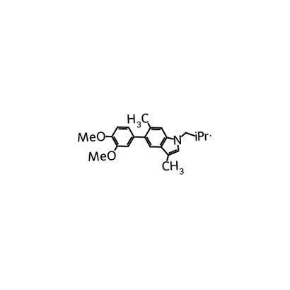 COc1ccc(-c2cc3c(C)cn(C[C](C)C)c3cc2C)cc1OC